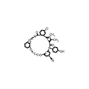 Cc1c2cc(n1C)-c1cc(Cl)ccc1C(=O)N1CCc3c(cccc3OCCCOc3cc(C#N)cc(c3)N(c3ccc(O)cc3)C2=O)C1